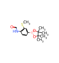 CSc1cc(B2OC(C)(C)C(C)(C)O2)ccc1NC=O